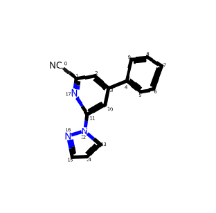 N#Cc1cc(-c2ccccc2)cc(-n2cccn2)n1